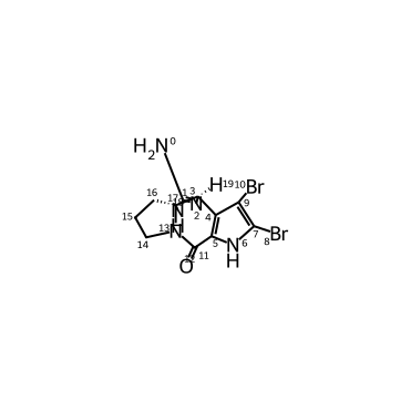 NC1=N[C@@H]2c3c([nH]c(Br)c3Br)C(=O)N3CCC[C@@]23N1